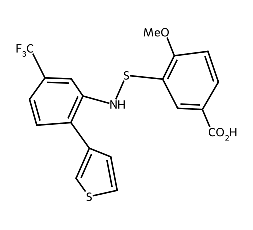 COc1ccc(C(=O)O)cc1SNc1cc(C(F)(F)F)ccc1-c1ccsc1